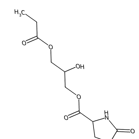 CCC(=O)OCC(O)COC(=O)C1CCC(=O)N1